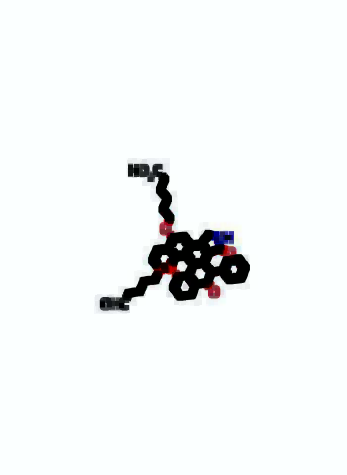 O=CCCCCCOC1=CCCC2=C1c1c(c3c(c4cc(OCCCCCC(=O)O)c5ccccc5c14)CNC3=O)C(c1ccccc1)C2=O